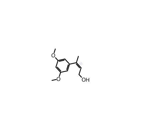 COc1cc(OC)cc(/C(C)=C\CO)c1